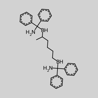 CC(BC(N)(c1ccccc1)c1ccccc1)CCCCBC(N)(c1ccccc1)c1ccccc1